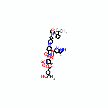 CC(C)c1ccccc1[C@H]1COCCN1C1CC2(CCN(c3ccc(C(=O)NS(=O)(=O)c4cc5c(c([N+](=O)[O-])c4)O[C@H]([C@H]4CC[C@](C)(O)CC4)CO5)c(Oc4cnc5[nH]cc(F)c5c4)c3)CC2)C1